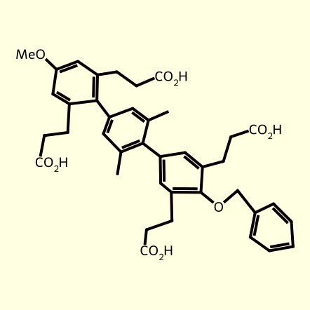 COc1cc(CCC(=O)O)c(-c2cc(C)c(-c3cc(CCC(=O)O)c(OCc4ccccc4)c(CCC(=O)O)c3)c(C)c2)c(CCC(=O)O)c1